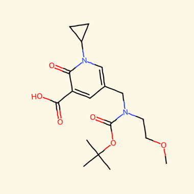 COCCN(Cc1cc(C(=O)O)c(=O)n(C2CC2)c1)C(=O)OC(C)(C)C